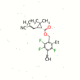 C#Cc1c(F)c(F)c(COC(=O)[C@@H]2[C@@H](C=C(C)C#N)C2(C)C)c(CC)c1F